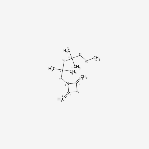 C=C1CC(=C)N1CC(C)(C)CC(C)(C)CCC